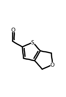 O=Cc1cc2c(s1)COC2